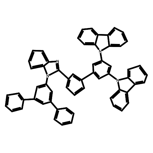 c1ccc(-c2cc(-c3ccccc3)cc(-n3c(-c4cccc(-c5cc(-n6c7ccccc7c7ccccc76)cc(-n6c7ccccc7c7ccccc76)c5)c4)nc4ccccc43)c2)cc1